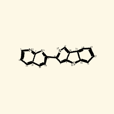 c1cnc2nc(-c3cc4sc5ccccc5c4cn3)ccc2c1